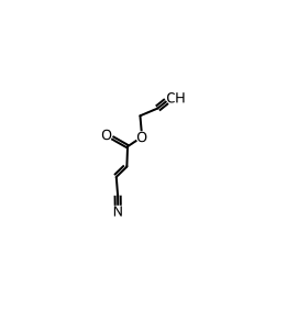 C#CCOC(=O)C=CC#N